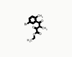 CCOC(=O)C(=O)C(C)C(=O)c1cc(Br)ccc1C